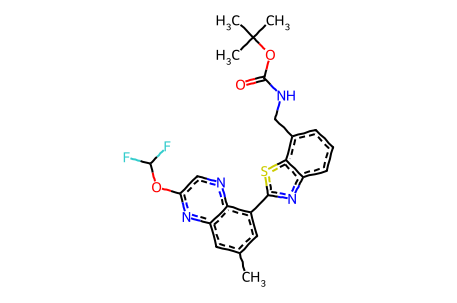 Cc1cc(-c2nc3cccc(CNC(=O)OC(C)(C)C)c3s2)c2ncc(OC(F)F)nc2c1